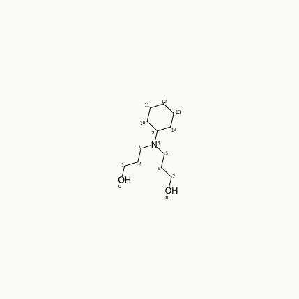 OCCCN(CCCO)C1CCCCC1